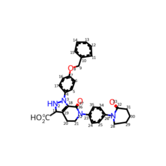 O=C(O)C1NN(c2ccc(OCc3ccccc3)cc2)C2=C1CCN(c1ccc(N3CCCCC3=O)cc1)C2=O